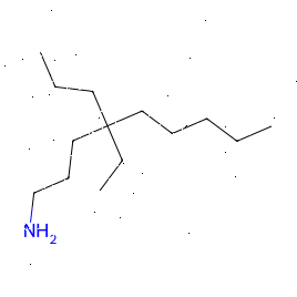 CCCCCC(CC)(CCC)CCCN